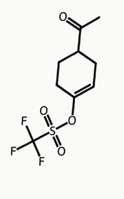 CC(=O)C1CC=C(OS(=O)(=O)C(F)(F)F)CC1